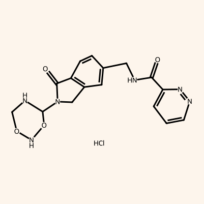 Cl.O=C(NCc1ccc2c(c1)CN(C1NCONO1)C2=O)c1cccnn1